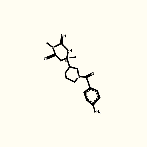 CN1C(=N)N[C@](C)(C2CCCN(C(=O)c3ccc(N)cc3)C2)CC1=O